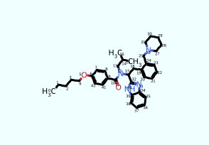 CCCCCOc1ccc(C(=O)N(CC(C)C)C(Cc2ccccc2CN2CCCCC2)c2nc3ccccc3[nH]2)cc1